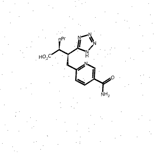 CCC[C@H](C(=O)O)[C@H](Cc1ccc(C(N)=O)cn1)c1nnn[nH]1